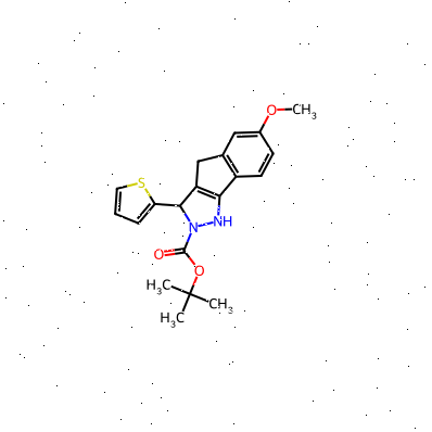 COc1ccc2c(c1)CC1=C2NN(C(=O)OC(C)(C)C)C1c1cccs1